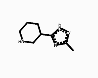 Cc1n[nH]c(C2CCCNC2)n1